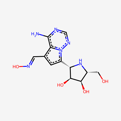 Nc1ncnn2c([C@@H]3N[C@H](CO)[C@@H](O)[C@H]3O)cc(/C=N/O)c12